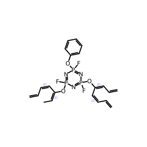 C=C/C=C\C(=C/C=C)OP1(F)=NP(F)(OC(/C=C\C=C)=C/C)=NP(F)(Oc2ccccc2)=N1